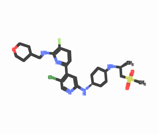 C[C@@H](CS(C)(=O)=O)N[C@H]1CC[C@H](Nc2cc(-c3ccc(F)c(NCC4CCOCC4)n3)c(Cl)cn2)CC1